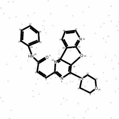 O=C(/C=C\c1nc(N2CCOCC2)c2oc3ncccc3c2n1)Nc1ccccc1